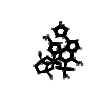 CS(=O)(=O)c1c([C@H]2C[C@H]3CC[C@@H](C2)N3C(=O)c2cc(N)n[nH]2)nc2c(-c3cn[nH]c3)cnn2c1N